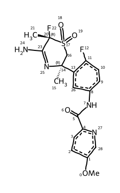 COc1ccc(C(=O)Nc2ccc(F)c([C@]3(C)CS(=O)(=O)[C@@](C)(F)C(N)=N3)c2)nc1